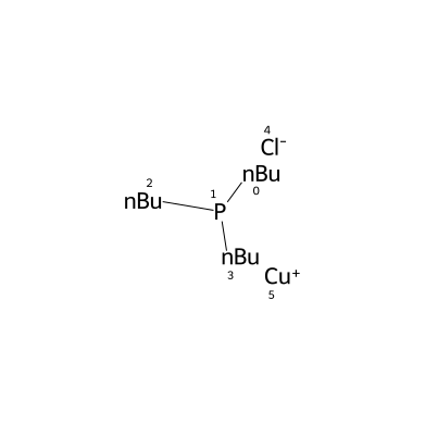 CCCCP(CCCC)CCCC.[Cl-].[Cu+]